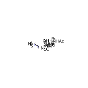 CC(=O)N[C@@H](CC(C)C)C(=O)N[C@@H](C)C(=O)N1C[C@H](O)C[C@H]1C(=O)N(C)C/C(C)=C/C=C(\C)c1scnc1C